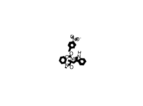 CN(C(=O)C(C)(Cc1c[nH]c2ccccc12)NC(=O)OCc1ccc([N+](=O)[O-])cc1)C1CCCCC1